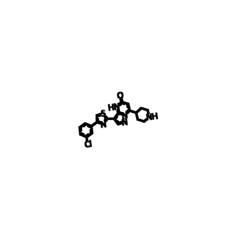 O=c1cc(C2CCNCC2)n2ncc(-c3nc(-c4cccc(Cl)c4)cs3)c2[nH]1